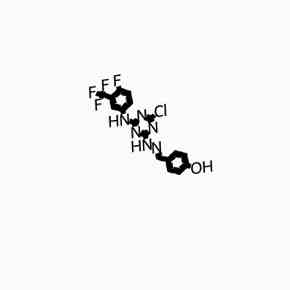 Oc1ccc(/C=N/Nc2nc(Cl)nc(Nc3ccc(F)c(C(F)(F)F)c3)n2)cc1